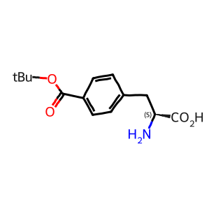 CC(C)(C)OC(=O)c1ccc(C[C@H](N)C(=O)O)cc1